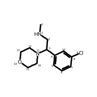 CNCC(c1cccc(Cl)c1)N1CCOCC1